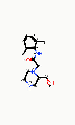 Cc1cccc(C)c1NC(=O)CN1CCNCC1CO